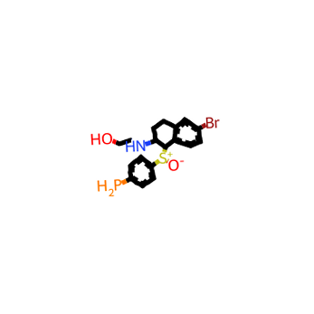 [O-][S+](c1ccc(P)cc1)C1c2ccc(Br)cc2CCC1NCCO